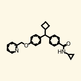 O=C(NC1CC1)c1ccc(C(c2ccc(OCc3ccccn3)cc2)C2CCC2)cc1